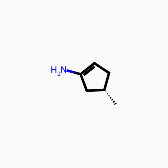 C[C@H]1CC=C(N)C1